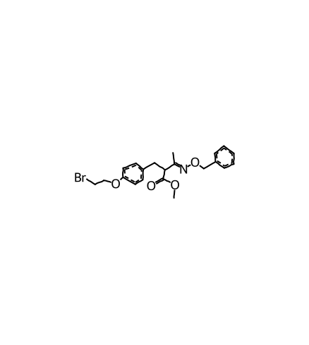 COC(=O)C(Cc1ccc(OCCBr)cc1)/C(C)=N/OCc1ccccc1